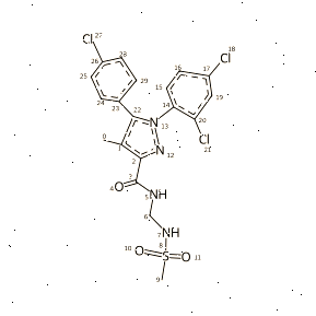 Cc1c(C(=O)NCNS(C)(=O)=O)nn(-c2ccc(Cl)cc2Cl)c1-c1ccc(Cl)cc1